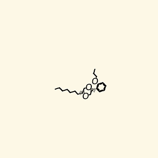 CCCCCCC[C@H]1CO[C@H](c2ccccc2OCCC)CO1